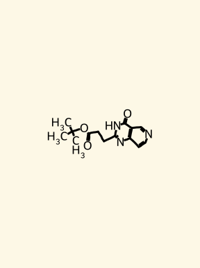 CC(C)(C)OC(=O)CCc1nc2ccncc2c(=O)[nH]1